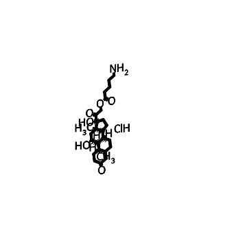 C[C@]12CCC(=O)C=C1CC[C@@H]1[C@@H]2[C@@H](O)C[C@@]2(C)[C@H]1CC[C@]2(O)C(=O)COC(=O)CCCCN.Cl